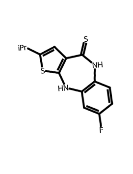 CC(C)c1cc2c(s1)Nc1cc(F)ccc1NC2=S